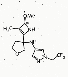 CO[C@H]1NC(C2(Nc3cnn(CC(F)(F)F)c3)CCOC2)=C1C